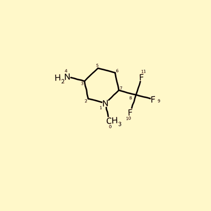 CN1CC(N)CCC1C(F)(F)F